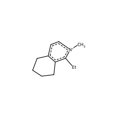 CCc1c2c(cc[n+]1C)CCCC2